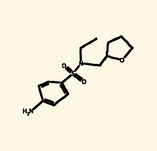 CCN(CC1CCCO1)S(=O)(=O)c1ccc(N)cc1